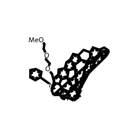 COCCOCCOCC1N(c2ccccc2)CC2c3cc4c5c6c(cc7c8c6c6c9c%10c(c3c59)C3c5c(cc9cc%11cc(c%12c%11c%11c9c5c%10c%11c6c%128)C7)=CC231)C4